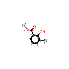 CCc1cccc(C(=O)OC(C)C)c1O